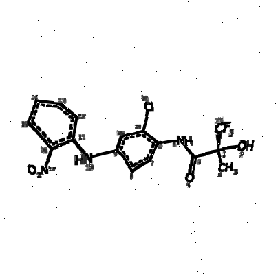 C[C@@](O)(C(=O)Nc1ccc(Nc2ccccc2[N+](=O)[O-])cc1Cl)C(F)(F)F